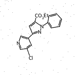 CCOC(=O)c1cc(-c2cncc(Cl)c2)nn1-c1ccccc1